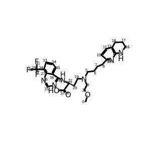 COCCN(CCCCc1ccc2c(n1)NCCC2)CC[C@H](Nc1ncnc2c(C(F)(F)F)cccc12)C(=O)O